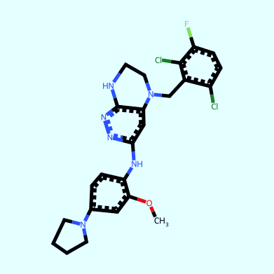 COc1cc(N2CCCC2)ccc1Nc1cc2c(nn1)NCCN2Cc1c(Cl)ccc(F)c1Cl